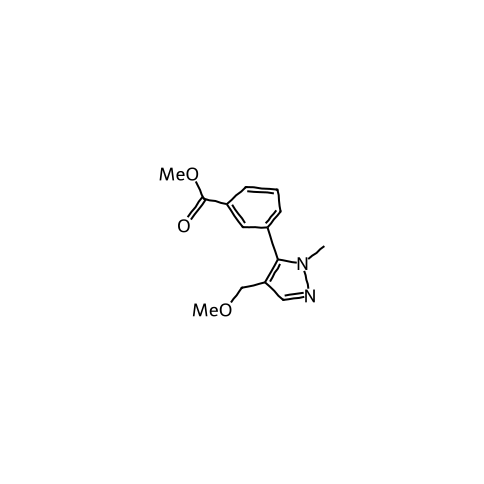 COCc1cnn(C)c1-c1cccc(C(=O)OC)c1